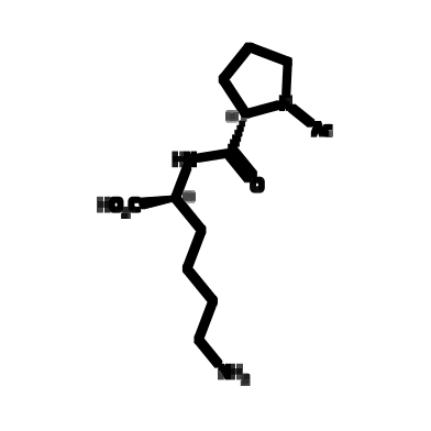 CC(=O)N1CCC[C@H]1C(=O)N[C@@H](CCCCN)C(=O)O